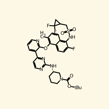 Cc1ccc2c(NS(=O)(=O)CC3CC3(F)F)c(F)ccc2c1Oc1ncccc1-c1ccnc(N[C@H]2CCCN(C(=O)OC(C)(C)C)C2)n1